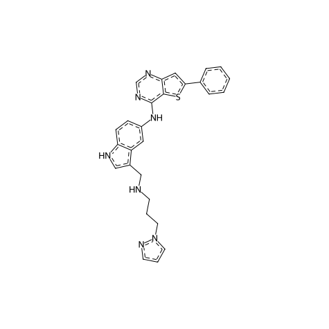 c1ccc(-c2cc3ncnc(Nc4ccc5[nH]cc(CNCCCn6cccn6)c5c4)c3s2)cc1